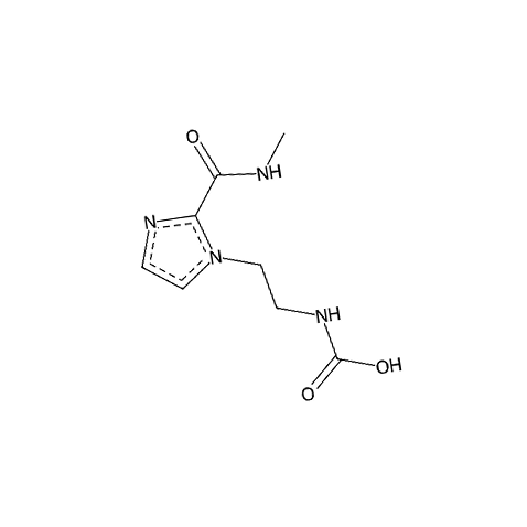 CNC(=O)c1nccn1CCNC(=O)O